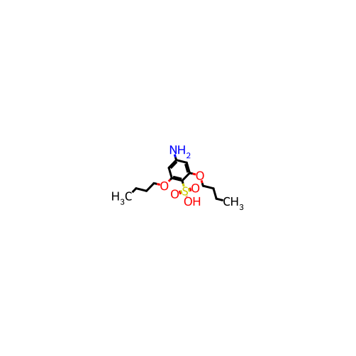 CCCCOc1cc(N)cc(OCCCC)c1S(=O)(=O)O